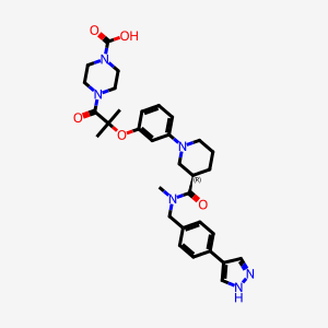 CN(Cc1ccc(-c2cn[nH]c2)cc1)C(=O)[C@@H]1CCCN(c2cccc(OC(C)(C)C(=O)N3CCN(C(=O)O)CC3)c2)C1